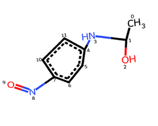 CC(O)Nc1ccc(N=O)cc1